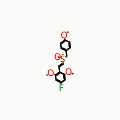 COc1ccc(C[S+]([O-])/C=C/c2c(OC)cc(F)cc2OC)cc1